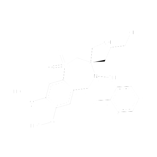 CCCC[C@]1(CC)CS(=O)(=O)c2cc(OC)c(OC)cc2[C@@H](Cc2ccccc2)N1O